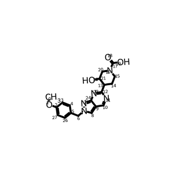 COc1ccc(Cn2cc3cnc(C4CCN(C(=O)O)CC4O)nc3n2)cc1